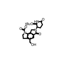 CC(C)(C)OC(=O)N1CCc2c(CO)cc3c(c21)CN(C1CCC(=O)NC1=O)C3=O